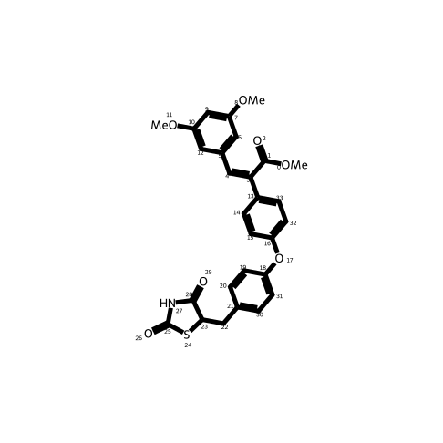 COC(=O)/C(=C\c1cc(OC)cc(OC)c1)c1ccc(Oc2ccc(CC3SC(=O)NC3=O)cc2)cc1